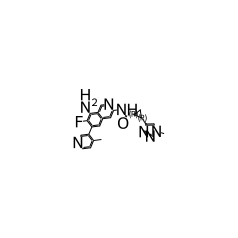 Cc1ccncc1-c1cc2cc(NC(=O)[C@@H]3C[C@H]3c3cn(C)nn3)ncc2c(N)c1F